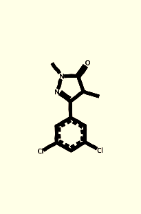 CC1C(=O)N(C)N=C1c1cc(Cl)cc(Cl)c1